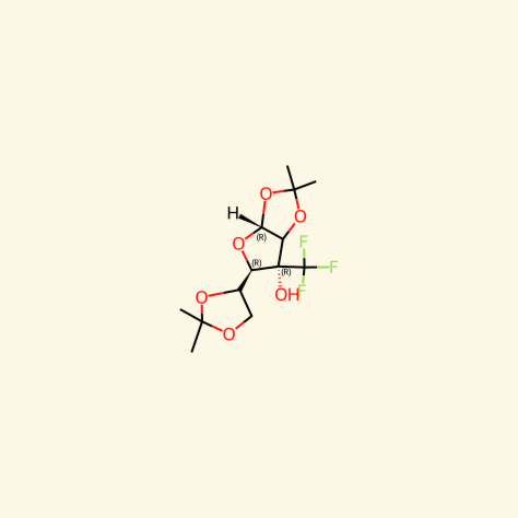 CC1(C)OCC([C@H]2O[C@@H]3OC(C)(C)OC3[C@@]2(O)C(F)(F)F)O1